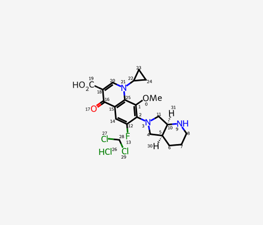 COc1c(N2C[C@@H]3CCCN[C@@H]3C2)c(F)cc2c(=O)c(C(=O)O)cn(C3CC3)c12.Cl.ClCCl